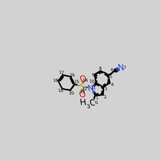 Cc1cc2cc(C#N)ccc2n1S(=O)(=O)C1=CC=CCC1